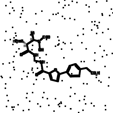 CCCCC[C@@H](C(=O)NCNC(=O)c1ccc(-c2ccc(CC(=O)O)cc2)o1)[C@@H](CC)N(O)C=O